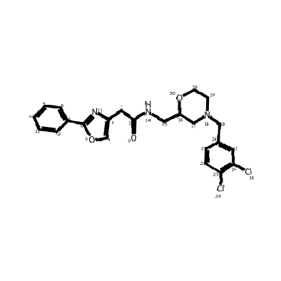 O=C(Cc1coc(-c2ccccc2)n1)NCC1CN(Cc2ccc(Cl)c(Cl)c2)CCO1